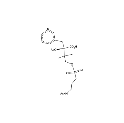 CC(=O)NCCCS(=O)(=O)OCC(C)(C)[C@@](Cc1cccnc1)(OC(C)=O)C(=O)O